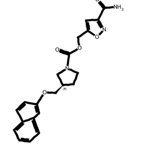 NC(=O)c1cc(COC(=O)N2CC[C@@H](COc3ccc4ccccc4c3)C2)on1